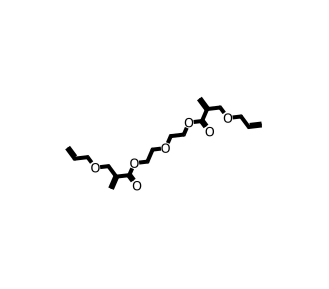 C=CCOCC(=C)C(=O)OCCOCCOC(=O)C(=C)COCC=C